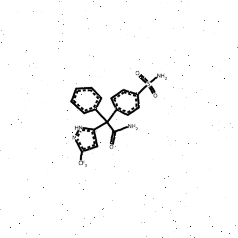 NC(=O)C(c1ccccc1)(c1ccc(S(N)(=O)=O)cc1)c1cc(C(F)(F)F)n[nH]1